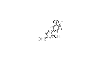 Cc1cc(C=O)ccc1-c1cccc(C(=O)O)c1